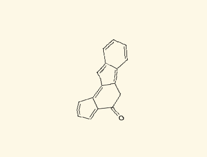 O=C1CC2=c3ccccc3=CC2=C2C=CC=C12